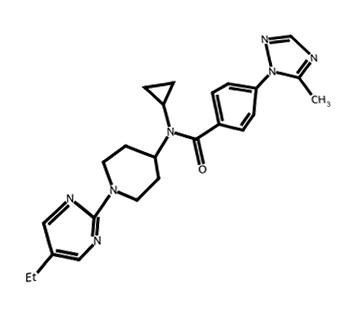 CCc1cnc(N2CCC(N(C(=O)c3ccc(-n4ncnc4C)cc3)C3CC3)CC2)nc1